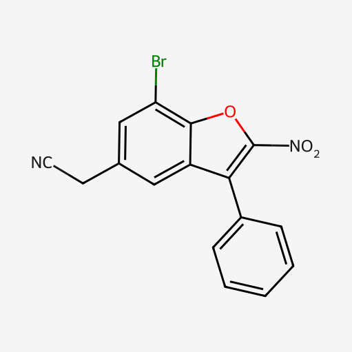 N#CCc1cc(Br)c2oc([N+](=O)[O-])c(-c3ccccc3)c2c1